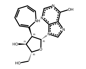 OC[C@H]1O[C@@H](n2cnc3c(O)ncnc32)[C@H](C2=CC=CC=CN2)[C@@H]1O